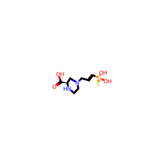 O=C(O)[C@H]1CN(CC=CP(O)(O)=S)CCN1